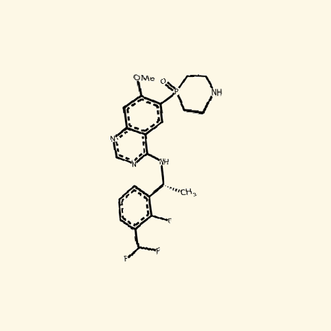 COc1cc2ncnc(N[C@H](C)c3cccc(C(F)F)c3F)c2cc1P1(=O)CCNCC1